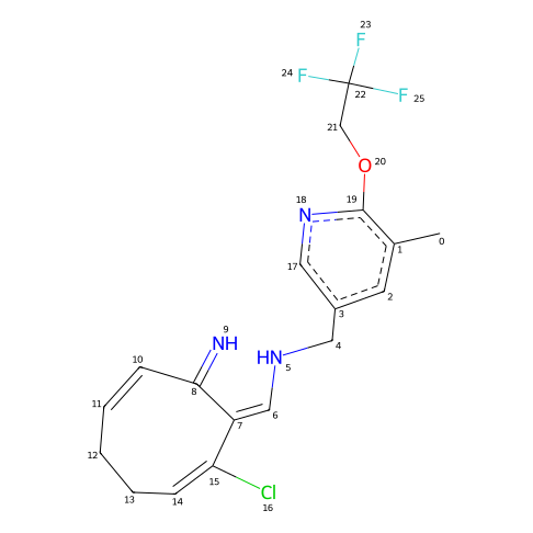 Cc1cc(CN/C=C2C(=N)/C=C\CC/C=C\2Cl)cnc1OCC(F)(F)F